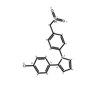 O=[SH](=O)Cc1ccc(-n2cccc2-c2ccc(Cl)cc2)cc1